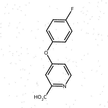 O=C(O)c1cc(Oc2ccc(F)cc2)ccn1